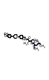 C\C=C/C=C(OC)\C(C)=N\C(CC)=C(/C)C(=O)NCc1ccc(N2CCC(c3ccc(OC)cc3)CC2)cc1